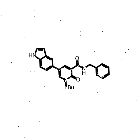 CCCCn1cc(-c2ccc3[nH]ccc3c2)cc(C(=O)NCc2ccccc2)c1=O